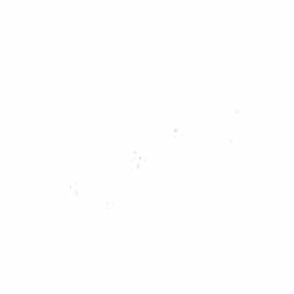 CC(C)(C)N1CC(N2CC3(CC[S+]([O-])CC3)C2)C1